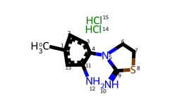 Cc1ccc(N2CCSC2=N)c(N)c1.Cl.Cl